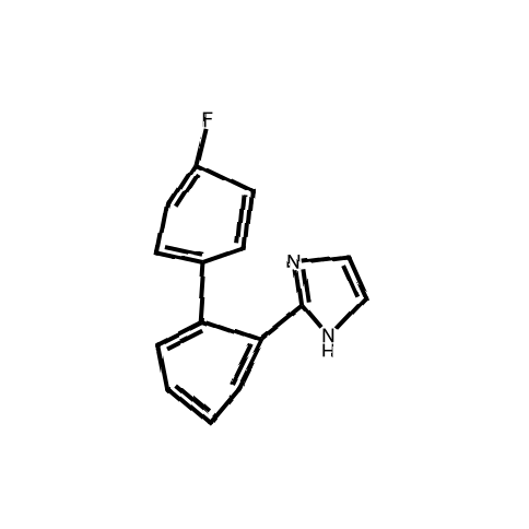 Fc1ccc(-c2ccccc2-c2ncc[nH]2)cc1